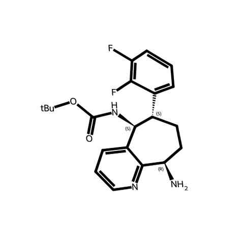 CC(C)(C)OC(=O)N[C@@H]1c2cccnc2[C@H](N)CC[C@H]1c1cccc(F)c1F